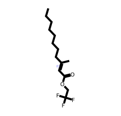 CCCCCCCC/C(C)=C/C(=O)OCC(F)(F)F